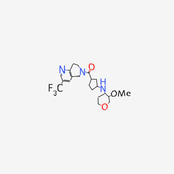 COC1COCCC1NC1CCC(C(=O)N2CCc3ncc(C(F)(F)F)cc3C2)C1